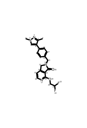 Cc1nn(C)cc1-c1ccc(CN2Cc3ccnc(OCC(F)F)c3C2=O)cc1